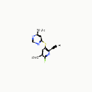 C#Cc1nc(F)c(OC)cc1Sc1cc(NC(C)=O)ncn1